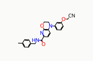 Cc1ccc(CNC(=O)c2ccc3c(n2)OCCN3c2cccc(OCC#N)c2)cc1